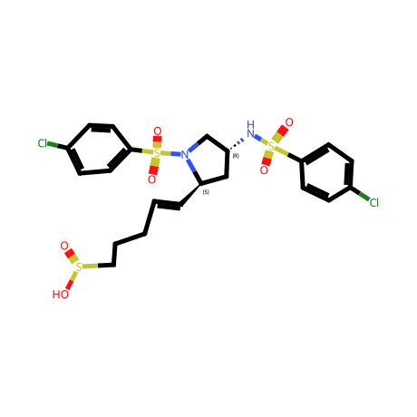 O=S(O)CCCC=C[C@@H]1C[C@@H](NS(=O)(=O)c2ccc(Cl)cc2)CN1S(=O)(=O)c1ccc(Cl)cc1